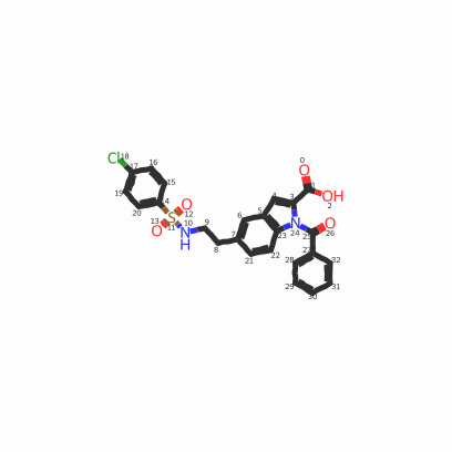 O=C(O)c1cc2cc(CCNS(=O)(=O)c3ccc(Cl)cc3)ccc2n1C(=O)c1ccccc1